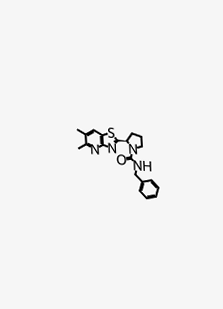 Cc1cc2sc([C@H]3CCCN3C(=O)NCc3ccccc3)nc2nc1C